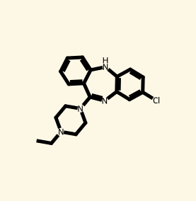 CCN1CCN(C2=Nc3cc(Cl)ccc3Nc3ccccc32)CC1